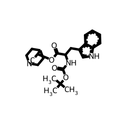 CC(C)(C)OC(=O)NC(Cc1c[nH]c2ccccc12)C(=O)OC1CN2CCC1CC2